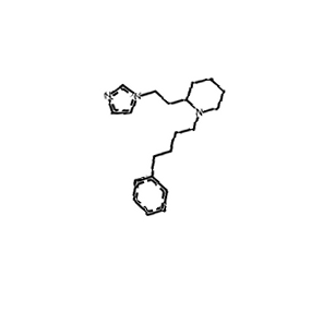 c1ccc(CCCCN2CCCCC2CCn2ccnc2)cc1